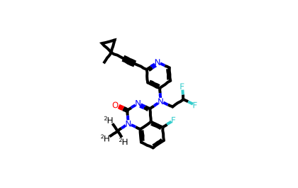 [2H]C([2H])([2H])n1c(=O)nc(N(CC(F)F)c2ccnc(C#CC3(C)CC3)c2)c2c(F)cccc21